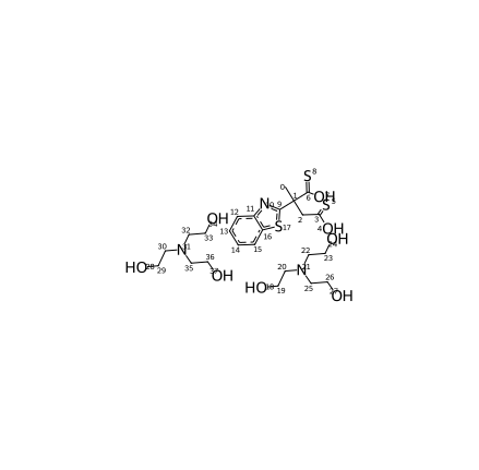 CC(CC(O)=S)(C(O)=S)c1nc2ccccc2s1.OCCN(CCO)CCO.OCCN(CCO)CCO